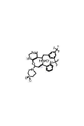 Cc1ccccc1/C1=C/C(N2CCS(=O)(=O)CC2)OC2=C(CNCN2)C(Cc2cc(C(F)(F)F)cc(C(F)(F)F)c2)[NH+]1[O-]